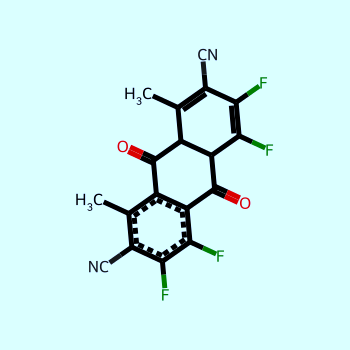 CC1=C(C#N)C(F)=C(F)C2C(=O)c3c(F)c(F)c(C#N)c(C)c3C(=O)C12